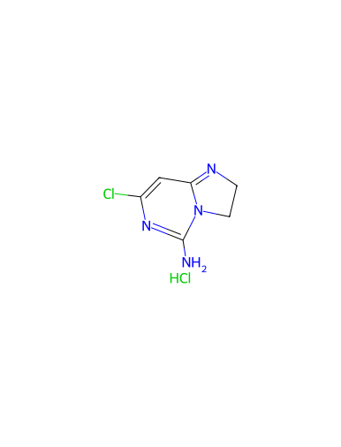 Cl.NC1=NC(Cl)=CC2=NCCN12